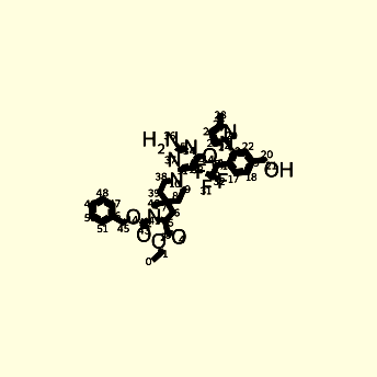 CCOC(=O)C1CC2(CCN(c3cc(O[C@H](c4ccc(CO)cc4-n4ccc(C)n4)C(F)(F)F)nc(N)n3)CC2)CN1C(=O)OCc1ccccc1